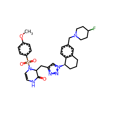 COc1ccc(S(=O)(=O)N2C=CNC(=O)C2Cc2cn([C@@H]3CCCc4cc(CN5CCC(F)CC5)ccc43)nn2)cc1